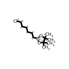 CC1(C)OB(CCCCCCCl)OC1(C)C